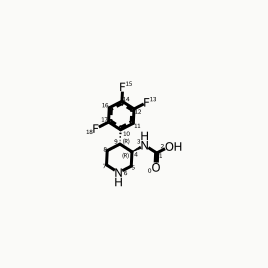 O=C(O)N[C@H]1CNCC[C@@H]1c1cc(F)c(F)cc1F